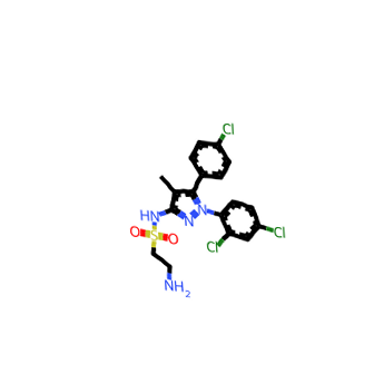 Cc1c(NS(=O)(=O)CCN)nn(-c2ccc(Cl)cc2Cl)c1-c1ccc(Cl)cc1